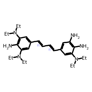 CCN(CC)c1cc(/C=C/C=C/c2cc(N(CC)CC)c(N)c(N(CC)CC)c2)cc(N)c1N